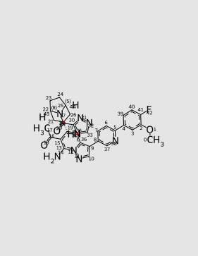 COc1cc(-c2ccc(-c3cnn4c(N)c(C(C)=O)c([C@@H]5C[C@H]6CC[C@@H](C5)N6C(=O)c5nnc[nH]5)nc34)cn2)ccc1F